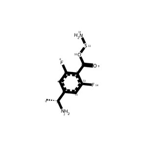 C[C@@H](N)c1cc(F)c(C(=O)OSN)c(F)c1